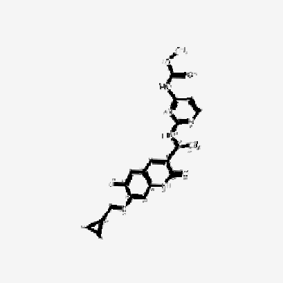 COC(=O)Nc1ccnc(N[C@@H](C)c2cc3cc(Cl)c(OCC4CC4)cc3[nH]c2=O)n1